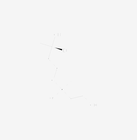 CCC(C)(CCO)OCC[C@](C)(O)CC